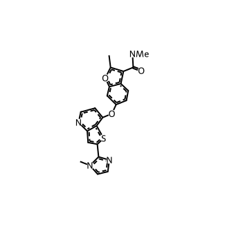 CNC(=O)c1c(C)oc2cc(Oc3ccnc4cc(-c5nccn5C)sc34)ccc12